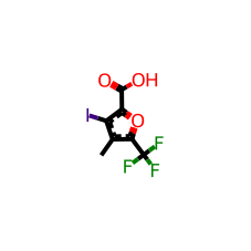 Cc1c(C(F)(F)F)oc(C(=O)O)c1I